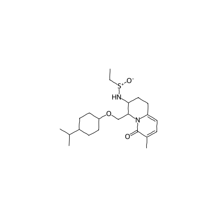 CC[S+]([O-])NC1CCc2ccc(C)c(=O)n2C1COC1CCC(C(C)C)CC1